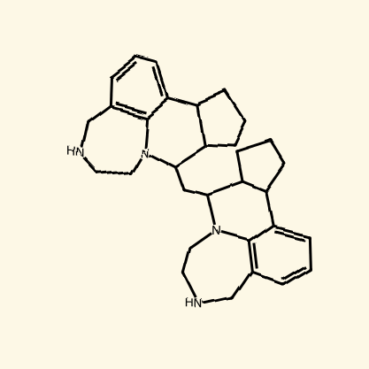 c1cc2c3c(c1)C1CCCC1C(CC1C4CCCC4c4cccc5c4N1CCNC5)N3CCNC2